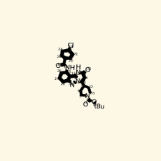 CC(C)(C)OC(=O)N1CCC(c2cc(=O)[nH]c3c4c(NC(=O)c5ccc(Cl)cc5)cccc4nn23)CC1